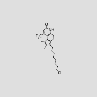 Cc1c(C)n(CCCCCCCCCl)c2ccc3[nH]c(=O)cc(C(F)(F)F)c3c12